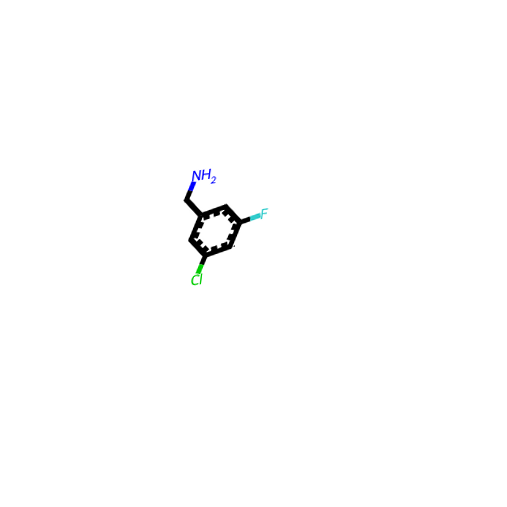 NCc1cc(F)[c]c(Cl)c1